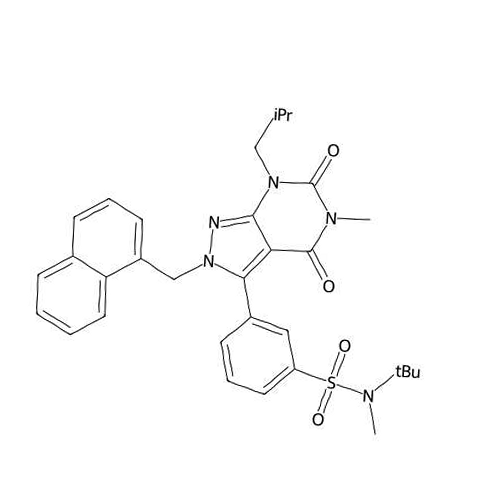 CC(C)Cn1c(=O)n(C)c(=O)c2c(-c3cccc(S(=O)(=O)N(C)C(C)(C)C)c3)n(Cc3cccc4ccccc34)nc21